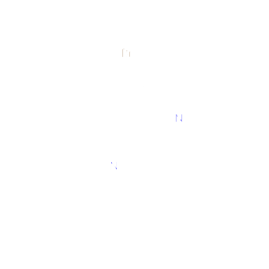 Cn1c(I)cc2ncc(Br)cc21